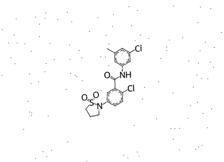 Cc1cc(Cl)cc(NC(=O)c2cc(N3CCCS3(=O)=O)ccc2Cl)c1